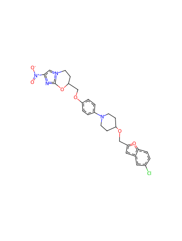 O=[N+]([O-])c1cn2c(n1)OC(COc1ccc(N3CCC(OCc4cc5cc(Cl)ccc5o4)CC3)cc1)CC2